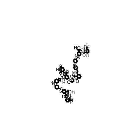 CN(C[C@H]1CC[C@H](c2nc3cc(C(C)(C)O)c(NC(=O)c4cccc(C(F)(F)F)n4)cc3s2)CC1)[C@H]1CCC2(CC1)C[C@@H](CNc1cc(N3C(=O)CCC(N4C(=O)c5cccc(NCC6CCN(C[C@H]7CC[C@H](c8nc9cc(C(C)(C)O)c(NC(O)c%10cccc(C(F)(F)F)n%10)cc9s8)CC7)CC6)c5C4=O)C3=O)cc3c1C(=O)N(C1CCC(=O)NC1=O)C3=O)C2